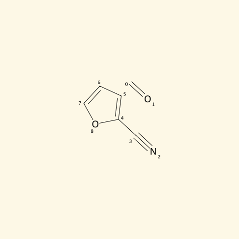 C=O.N#Cc1ccco1